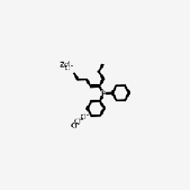 CCCC=C(CCC)P(C1CCCCC1)C1CCCCC1.[Cl-].[Cl-].[Cl-].[Cl-].[Zr+4]